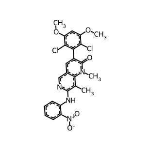 COc1cc(OC)c(Cl)c(-c2cc3cnc(Nc4ccccc4[N+](=O)[O-])c(C)c3n(C)c2=O)c1Cl